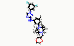 [2H]C1([2H])N(CC2COCCO2)C([2H])([2H])C([2H])([2H])N(c2cc(C)cc(Nc3ncn(-c4cc(F)cc(F)c4)n3)c2)C1([2H])[2H]